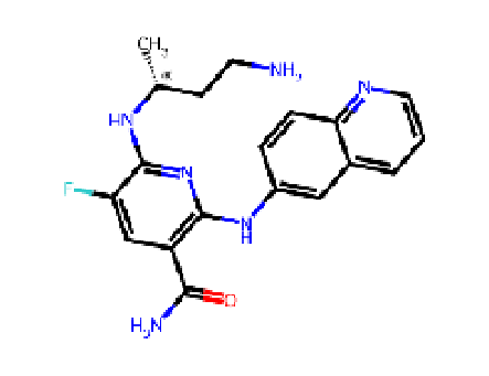 C[C@H](CCN)Nc1nc(Nc2ccc3ncccc3c2)c(C(N)=O)cc1F